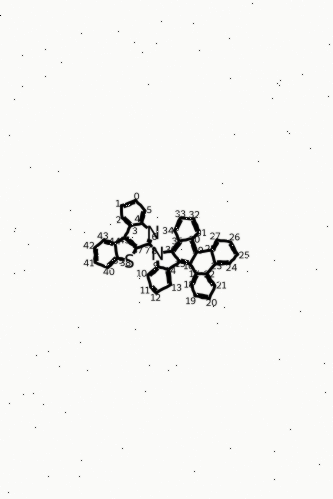 c1ccc2c(c1)nc(-n1c3ccccc3c3c4c5ccccc5c5ccccc5c4c4ccccc4c31)c1sc3ccccc3c12